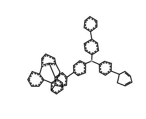 C1=CCC(c2ccc(N(c3ccc(-c4ccccc4)cc3)c3ccc(-c4ccc5c(c4)-c4c6cccc4-c4ccccc4-c4c(cccc4-5)C6)cc3)cc2)C=C1